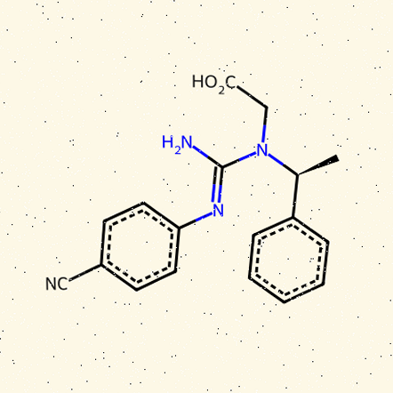 C[C@@H](c1ccccc1)N(CC(=O)O)C(N)=Nc1ccc(C#N)cc1